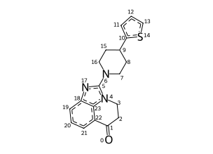 O=C1CCn2c(N3CCC(c4cccs4)CC3)nc3cccc1c32